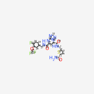 NC(=O)c1ccc(CNC(=O)c2cc(C(=O)NCc3ccc(F)c(OC(F)F)c3)nc3ncnn23)s1